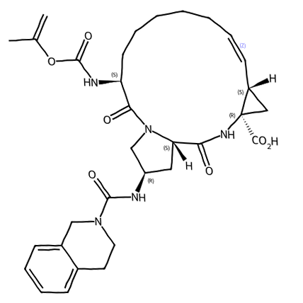 C=C(C)OC(=O)N[C@H]1CCCCC/C=C\[C@@H]2C[C@@]2(C(=O)O)NC(=O)[C@@H]2C[C@@H](NC(=O)N3CCc4ccccc4C3)CN2C1=O